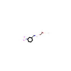 O=C(O)CO/N=C/c1cccc([N+](=O)[O-])c1